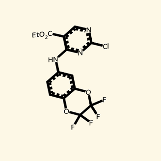 CCOC(=O)c1cnc(Cl)nc1Nc1ccc2c(c1)OC(F)(F)C(F)(F)O2